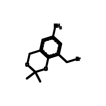 Bc1cc(CBr)c2c(c1)COC(C)(C)O2